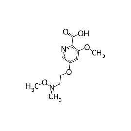 COc1cc(OCCN(C)OC)cnc1C(=O)O